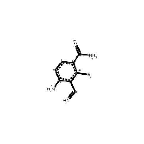 N=Cc1c(N)ccc(C(N)=O)c1Br